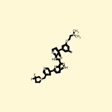 CN(C)CCOc1cc(F)cc(-c2ccnc3[nH]c(-c4n[nH]c5ccc(-c6cncc(CN7CCC(F)(F)C7)c6)nc45)nc23)c1